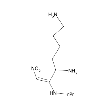 CCCNC(=C[N+](=O)[O-])C(N)CCCCN